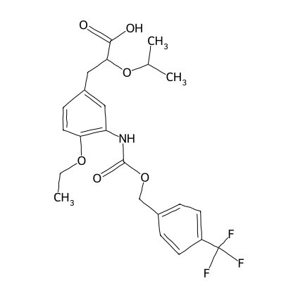 CCOc1ccc(CC(OC(C)C)C(=O)O)cc1NC(=O)OCc1ccc(C(F)(F)F)cc1